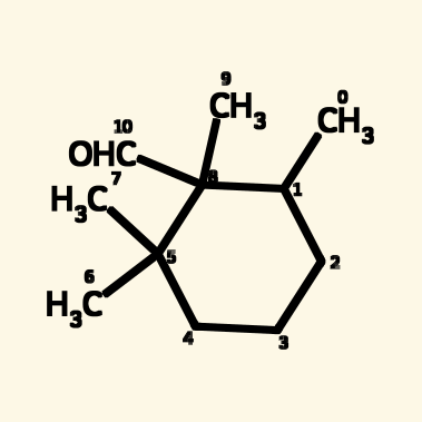 CC1CCCC(C)(C)C1(C)C=O